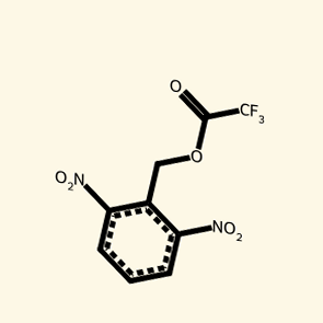 O=C(OCc1c([N+](=O)[O-])cccc1[N+](=O)[O-])C(F)(F)F